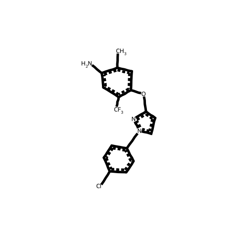 Cc1cc(Oc2ccn(-c3ccc(Cl)cc3)n2)c(C(F)(F)F)cc1N